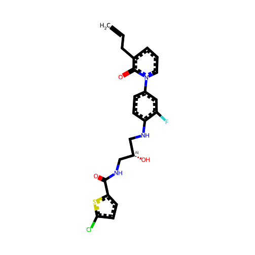 C=CCc1cccn(-c2ccc(NC[C@H](O)CNC(=O)c3ccc(Cl)s3)c(F)c2)c1=O